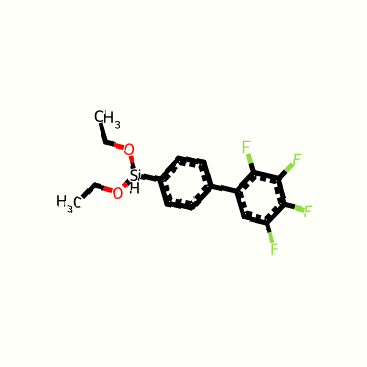 CCO[SiH](OCC)c1ccc(-c2cc(F)c(F)c(F)c2F)cc1